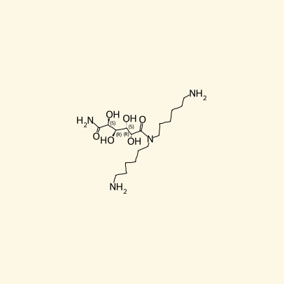 NCCCCCCN(CCCCCCN)C(=O)[C@H](O)[C@@H](O)[C@@H](O)[C@H](O)C(N)=O